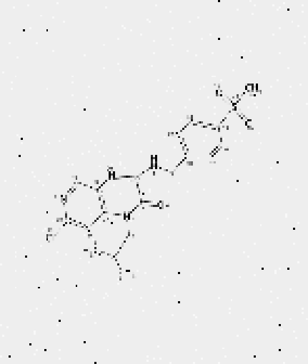 CC(C)Cn1c(=O)c(NCc2ccc(S(C)(=O)=O)cn2)nc2cnc(Cl)nc21